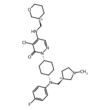 CN1CC[C@H](CN(c2ccc(F)cc2)[C@H]2CC[C@@H](n3ncc(NC[C@@H]4CCCOC4)c(Cl)c3=O)CC2)C1